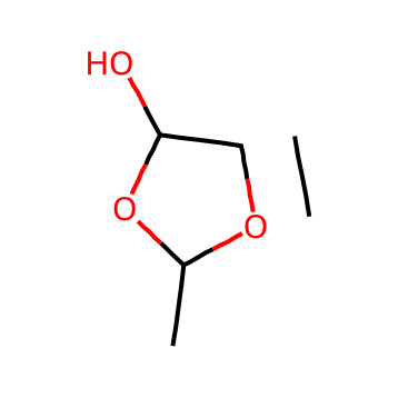 CC.CC1OCC(O)O1